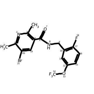 Cc1nc(C)c(C(=O)NCc2cc(OC(F)(F)F)ccc2F)cc1Br